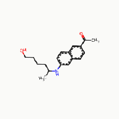 CC(=O)c1ccc2cc(NC(C)CCCCO)ccc2c1